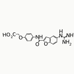 N=C(N)Nc1ccc2oc(C(=O)Nc3ccc(OCC(=O)O)cc3)cc2c1